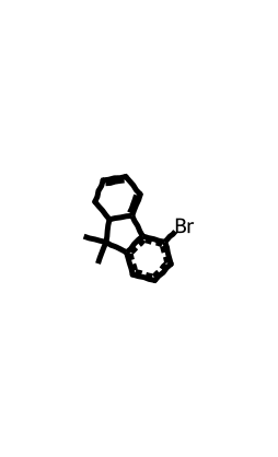 CC1(C)c2cccc(Br)c2C2=CC=CCC21